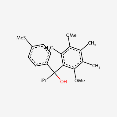 COc1c(C)c(C)c(OC)c(C(O)(c2ccc(SC)cc2)C(C)C)c1C